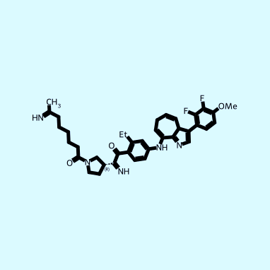 CCc1cc(NC2=CCC=CC3C(c4ccc(OC)c(F)c4F)=CN=C23)ccc1C(=O)C(=N)[C@@H]1CCN(C(=O)CCCCCC(C)=N)C1